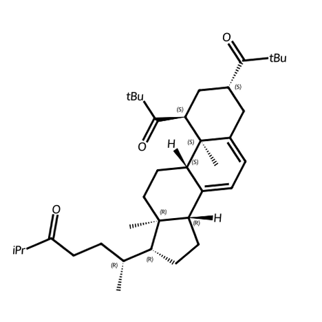 CC(C)C(=O)CC[C@@H](C)[C@H]1CC[C@H]2C3=CC=C4C[C@@H](C(=O)C(C)(C)C)C[C@H](C(=O)C(C)(C)C)[C@]4(C)[C@H]3CC[C@]12C